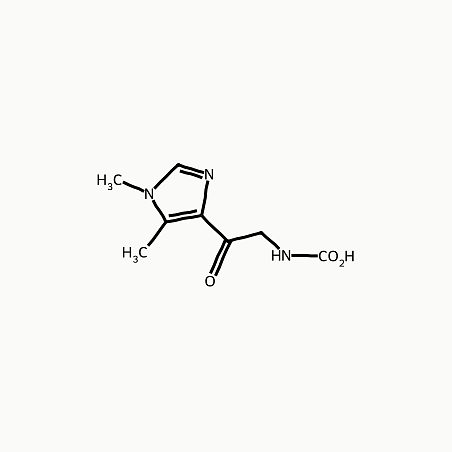 Cc1c(C(=O)CNC(=O)O)ncn1C